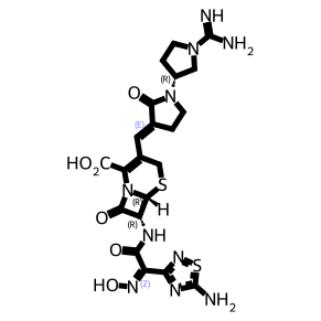 N=C(N)N1CC[C@@H](N2CC/C(=C\C3=C(C(=O)O)N4C(=O)[C@@H](NC(=O)/C(=N\O)c5nsc(N)n5)[C@H]4SC3)C2=O)C1